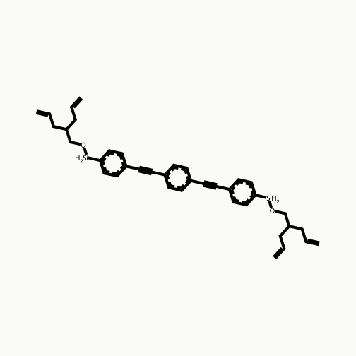 C=CCC(CC=C)CO[SiH2]c1ccc(C#Cc2ccc(C#Cc3ccc([SiH2]OCC(CC=C)CC=C)cc3)cc2)cc1